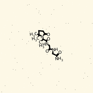 CC(C(=O)NCC(=O)NCC(N)=O)N1C(=O)CCC1(C)C